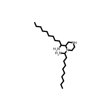 CCCCCCCCCC(N)C1CNCCN1C(N)CCCCCCCCC